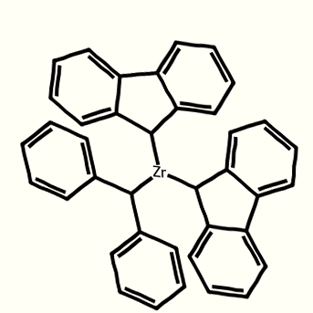 c1ccc([CH](c2ccccc2)[Zr]([CH]2c3ccccc3-c3ccccc32)[CH]2c3ccccc3-c3ccccc32)cc1